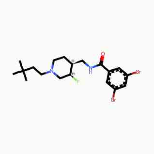 CC(C)(C)CCN1CC[C@@H](CNC(=O)c2cc(Br)cc(Br)c2)[C@@H](F)C1